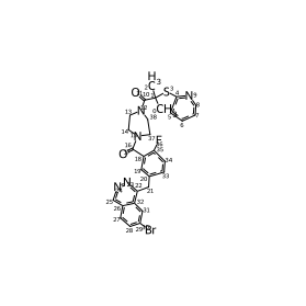 CC(C)(Sc1ccccn1)C(=O)N1CCN(C(=O)c2cc(Cc3nncc4ccc(Br)cc34)ccc2F)CC1